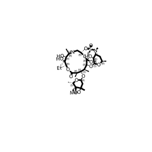 CC[C@H]1OC(=O)[C@H](C)[C@@H](O[C@H]2C[C@@](C)(OC)[C@]3(CO3)[C@H](C)O2)[C@H](C)[C@@H](O[C@@H]2O[C@H](C)C[C@H](N(C)S(=O)(=O)F)[C@H]2O)[C@](C)(O)C[C@@H](C)CN[C@H](C)[C@@H](O)[C@]1(C)O